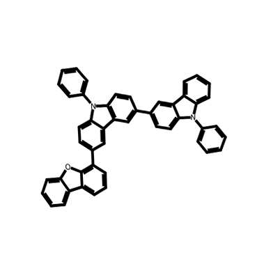 c1ccc(-n2c3ccccc3c3cc(-c4ccc5c(c4)c4cc(-c6cccc7c6oc6ccccc67)ccc4n5-c4ccccc4)ccc32)cc1